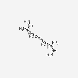 NCCNCCN(CCN)CCNCC(O)COCCOCCOCC(O)CNCCN(CCN)CCNCCN